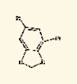 CCc1cc2c(c(C(C)C)c1)OCO2